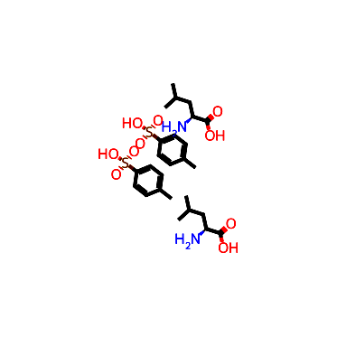 CC(C)C[C@H](N)C(=O)O.CC(C)C[C@H](N)C(=O)O.Cc1ccc(S(=O)(=O)O)cc1.Cc1ccc(S(=O)(=O)O)cc1